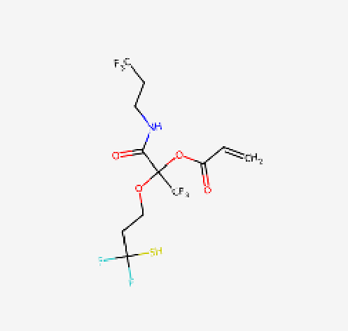 C=CC(=O)OC(OCCC(F)(F)S)(C(=O)NCCC(F)(F)F)C(F)(F)F